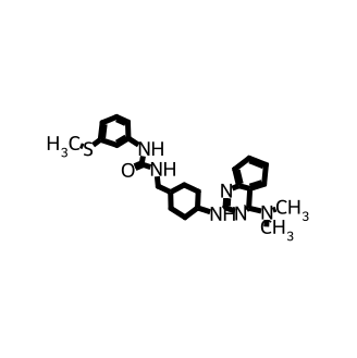 CSc1cccc(NC(=O)NCC2CCC(Nc3nc(N(C)C)c4ccccc4n3)CC2)c1